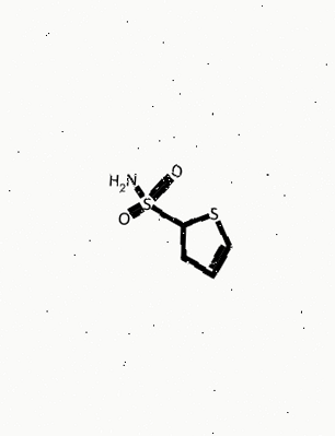 NS(=O)(=O)C1CC=CS1